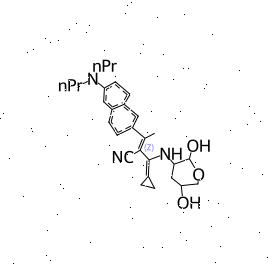 CCCN(CCC)c1ccc2cc(/C(C)=C(\C#N)C(NC3CC(O)COC3O)=C3CC3)ccc2c1